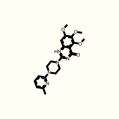 COc1cc2[nH]c(N3CCN(c4cccc(C)n4)CC3)nc(=O)c2c(OC)c1OC